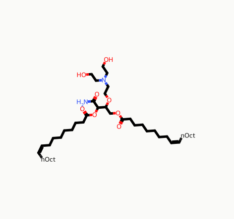 CCCCCCCC/C=C\CCCCCCCC(=O)OCC(OCCN(CCO)CCO)C(OC(=O)CCCCCCC/C=C\CCCCCCCC)C(N)=O